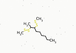 CCCCCCC(SSC)C(C)SSC